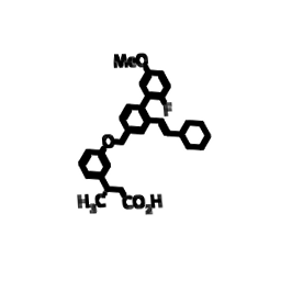 COc1ccc(F)c(-c2ccc(COc3cccc([C@@H](C)CC(=O)O)c3)cc2C=CC2CCCCC2)c1